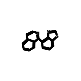 [c]1nc2c(-c3nccc4ccccc34)cccc2s1